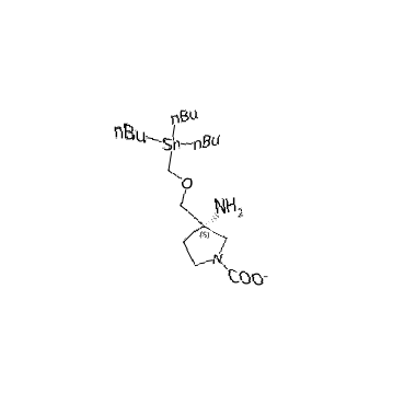 CCC[CH2][Sn]([CH2]CCC)([CH2]CCC)[CH2]OC[C@]1(N)CCN(C(=O)[O-])C1